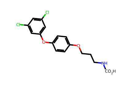 O=C(O)NCCCOc1ccc(Oc2cc(Cl)cc(Cl)c2)cc1